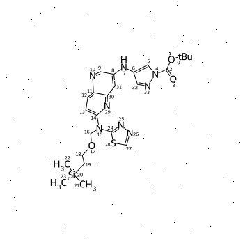 CC(C)(C)OC(=O)n1cc(Nc2cnc3ccc(N(COCC[Si](C)(C)C)c4nncs4)nc3c2)cn1